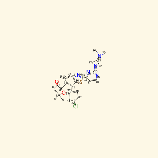 CC(=O)[C@@H](OC(C)(C)C)c1c(C)cc2nc(-c3ccnc(N4CC(N(C)C)C4)n3)sc2c1-c1ccc(Cl)cc1